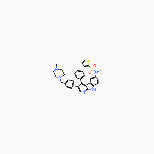 CN1CCN(Cc2ccc(-c3cnc4[nH]c5ccc(N(C)S(=O)(=O)c6cccs6)cc5c4c3-c3ccccc3)cc2)CC1